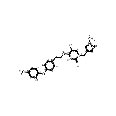 Cn1cc(Cn2cc(F)c(OCCc3ccc(Oc4ccc(C(F)(F)F)cn4)cc3)nc2=O)cn1